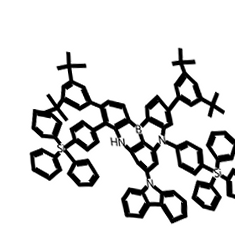 CC(C)(C)c1cc(-c2ccc3c(c2)N(c2ccc([Si](c4ccccc4)(c4ccccc4)c4ccccc4)cc2)c2cc(-n4c5ccccc5c5ccccc54)cc4c2B3c2ccc(-c3cc(C(C)(C)C)cc(C(C)(C)C)c3)c(-c3ccc([Si](c5ccccc5)(c5ccccc5)c5ccccc5)cc3)c2N4)cc(C(C)(C)C)c1